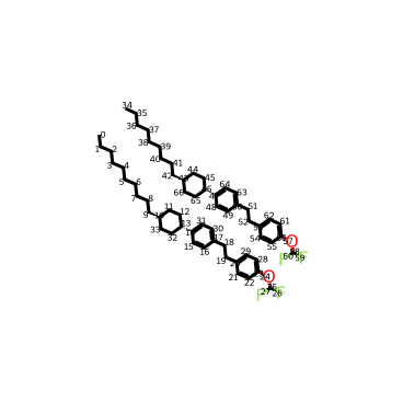 CCCCCCCCCC[C@H]1CC[C@H](c2ccc(CCc3ccc(OC(F)F)cc3)cc2)CC1.CCCCCCCCC[C@H]1CC[C@H](c2ccc(CCc3ccc(OC(F)F)cc3)cc2)CC1